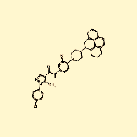 Cc1c(C(=O)Nc2ccc(N3CCN(C4CC5=c6c(ccc7c6=C4CCC7)C=CC5)CC3)c(Br)c2)cnn1-c1ccc(Cl)cc1